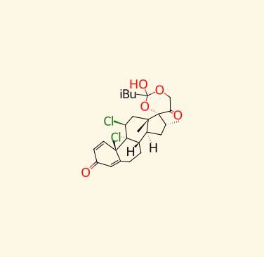 CCC(C)C1(O)OCC(=O)[C@@]2(O1)[C@H](C)C[C@H]1[C@@H]3CCC4=CC(=O)C=C[C@]4(C)[C@@]3(Cl)[C@@H](Cl)C[C@@]12C